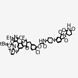 CCn1cc(-c2cc(Cn3ccn(C)c3=NC(=O)OC(C)(C)C)cc3c2OCC(Cc2ccc(Cl)c(OCC(=O)NC4CCN(c5ccc6c(c5)C(=O)N(C5CCC(=O)NC5=O)C6=O)CC4)c2)C3=O)c(C(F)(F)F)n1